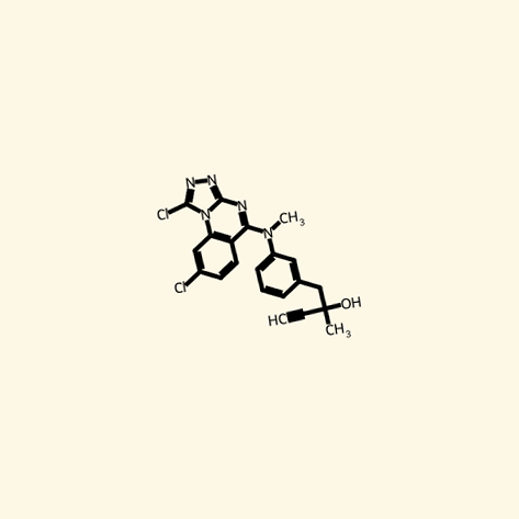 C#CC(C)(O)Cc1cccc(N(C)c2nc3nnc(Cl)n3c3cc(Cl)ccc23)c1